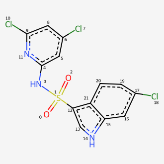 O=S(=O)(Nc1cc(Cl)cc(Cl)n1)c1c[nH]c2cc(Cl)ccc12